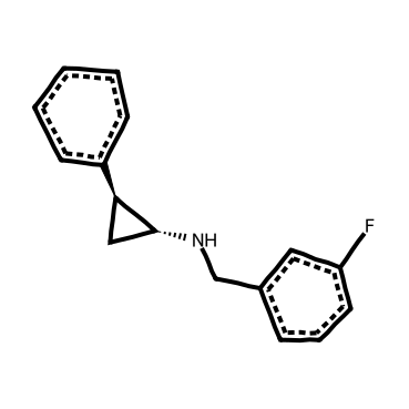 Fc1cccc(CN[C@@H]2C[C@H]2c2ccccc2)c1